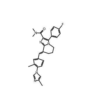 Cc1cn(-c2ccc(/C=C3\CCCn4c3nc(C(=O)N(C)C)c4-c3ccc(F)cc3)cc2C)cn1